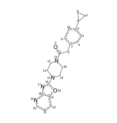 O=C(Cc1ccc(C2CC2)cc1)N1CCN(c2nc3ncccc3o2)CC1